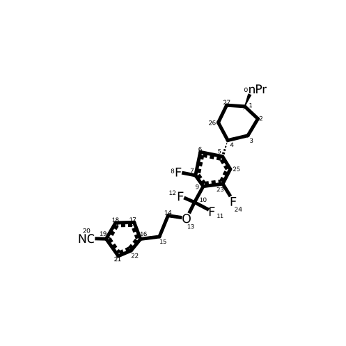 CCC[C@H]1CC[C@H](c2cc(F)c(C(F)(F)OCCc3ccc(C#N)cc3)c(F)c2)CC1